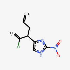 C=CCC(C(=C)Cl)c1c[nH]c([N+](=O)[O-])n1